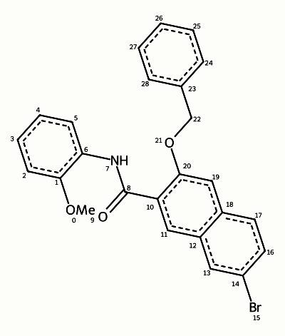 COc1ccccc1NC(=O)c1cc2cc(Br)ccc2cc1OCc1ccccc1